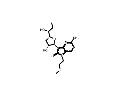 CC[C@H](O)[C@@H]1C[C@@H](O)[C@H](n2c(=O)n(CCSC)c3cnc(N)nc32)O1